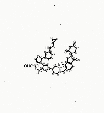 O=CNC1=COC(c2ccnc(NCC3CC3)c2)N1c1cn(C2CCN(Cc3ccc4c(c3Br)CN(C3CCC(=O)NC3=O)C4=O)CC2)nc1C(F)F